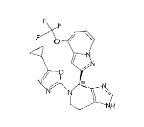 FC(F)(F)Oc1cccn2nc([C@H]3c4nc[nH]c4CCN3c3nnc(C4CC4)o3)cc12